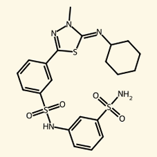 Cn1nc(-c2cccc(S(=O)(=O)Nc3cccc(S(N)(=O)=O)c3)c2)sc1=NC1CCCCC1